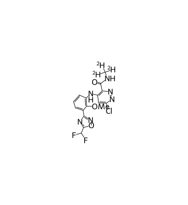 [2H]C([2H])([2H])NC(=O)c1nnc(Cl)cc1Nc1cccc(-c2noc(C(F)F)n2)c1OC